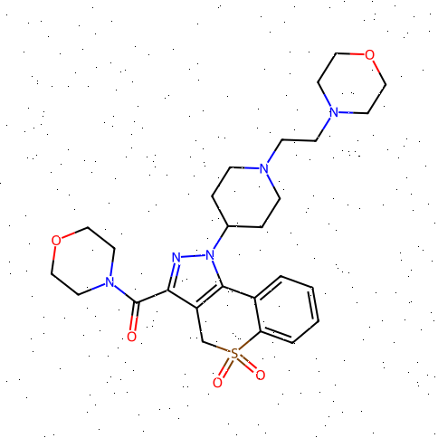 O=C(c1nn(C2CCN(CCN3CCOCC3)CC2)c2c1CS(=O)(=O)c1ccccc1-2)N1CCOCC1